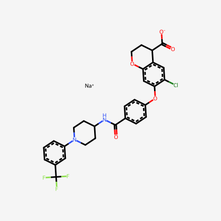 O=C(NC1CCN(c2cccc(C(F)(F)F)c2)CC1)c1ccc(Oc2cc3c(cc2Cl)C(C(=O)[O-])CCO3)cc1.[Na+]